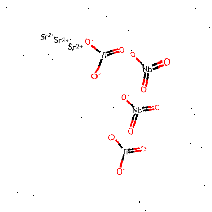 [O]=[Nb](=[O])[O-].[O]=[Nb](=[O])[O-].[O]=[Ti]([O-])[O-].[O]=[Ti]([O-])[O-].[Sr+2].[Sr+2].[Sr+2]